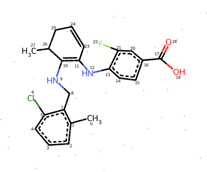 Cc1cccc(Cl)c1CNC1=C(Nc2ccc(C(=O)O)cc2F)C=CCC1C